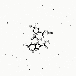 CC(C)(C)OC(=O)N1CC(F)(F)C[C@@H]1C(=O)Nc1c(C(N)=O)oc2ccc(Cl)cc12